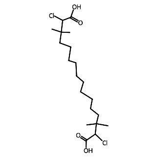 CC(C)(CCCCCCCCCCC(C)(C)C(Cl)C(=O)O)C(Cl)C(=O)O